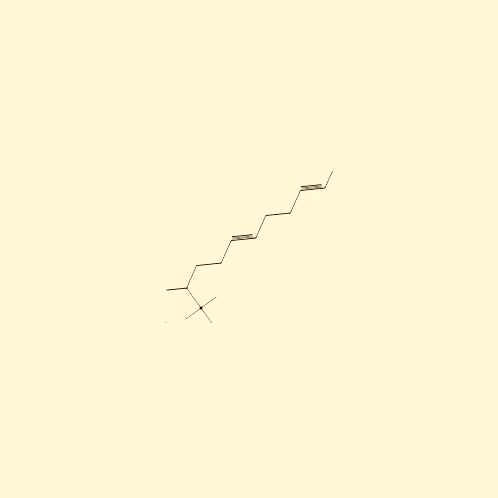 C/C=C/CC/C=C/CCC(C)C(C)(C)C(=O)O